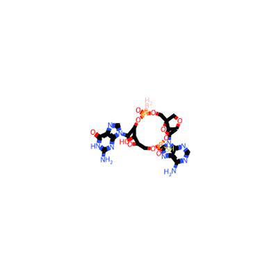 BP1(=O)OCC23COC(C(n4cnc5c(N)ncnc54)O2)C3O[P@](=O)(S)OCC2OC(n3cnc4c(=O)[nH]c(N)nc43)C(O1)C2O